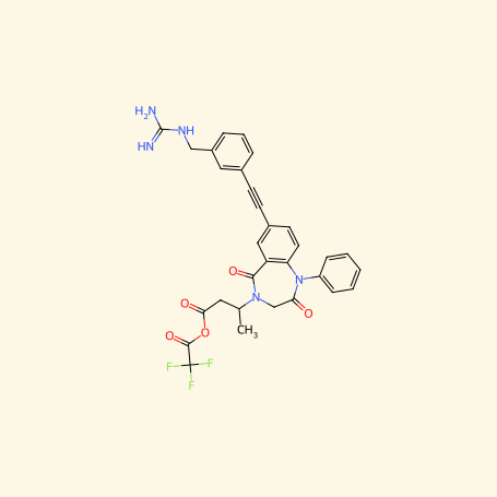 CC(CC(=O)OC(=O)C(F)(F)F)N1CC(=O)N(c2ccccc2)c2ccc(C#Cc3cccc(CNC(=N)N)c3)cc2C1=O